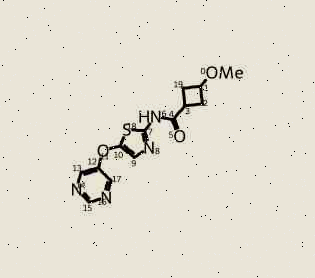 COC1CC(C(=O)Nc2ncc(Oc3cncnc3)s2)C1